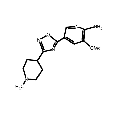 COc1cc(-c2nc(C3CCN(C)CC3)no2)cnc1N